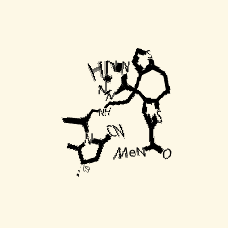 C=C(CNCCC1(c2nn[nH]n2)c2ccsc2CCc2sc(C(=O)NC)cc21)N1C(C#N)C[C@H](C)C1C